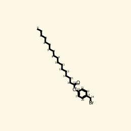 CCCCCCCCCCCCCCCCCC(=O)Oc1ccc(CBr)cc1